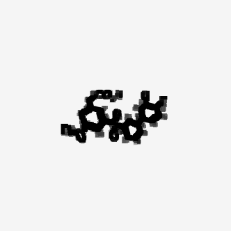 CCOc1cc(CC(=O)O)cc(S(=O)(=O)c2cccc(-c3ccc(F)c(Cl)c3)c2)c1